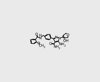 COc1ccccc1C(=O)NCc1ccc(-c2nn(C3C4COC[C@]43O)c(N)c2C(N)=O)cc1